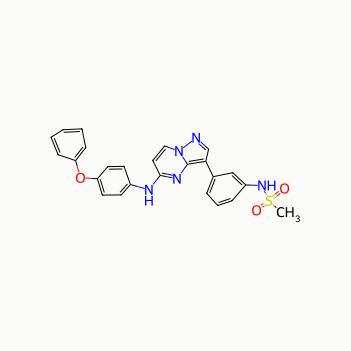 CS(=O)(=O)Nc1cccc(-c2cnn3ccc(Nc4ccc(Oc5ccccc5)cc4)nc23)c1